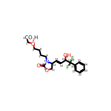 O=C(O)COCCCCN1C(=O)OCC1/C=C/C(O)C(F)(F)c1ccccc1